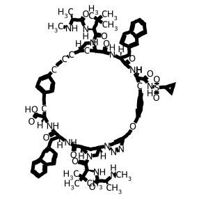 CN[C@@H](C)C(=O)N[C@H](C(=O)N1C[C@@H]2C[C@H]1C(=O)N[C@@H](Cc1ccc3ccccc3c1)C(=O)N[C@H](C(=O)O)Cc1ccc(cc1)CCCC[C@H]1C[C@@H](C(=O)N[C@@H](Cc3ccc4ccccc4c3)C(=O)N[C@H](C(=O)NS(=O)(=O)C3CC3)Cc3ccc(cc3)OCc3cn2nn3)N(C(=O)[C@@H](NC(=O)[C@H](C)NC)C(C)(C)C)C1)C(C)(C)C